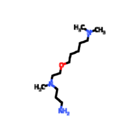 CN(C)CCCCCOCCN(C)CCCN